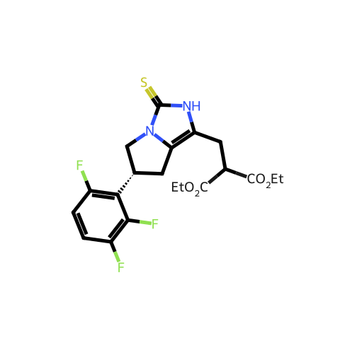 CCOC(=O)C(Cc1[nH]c(=S)n2c1C[C@H](c1c(F)ccc(F)c1F)C2)C(=O)OCC